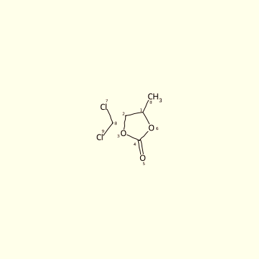 CC1COC(=O)O1.ClCCl